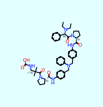 CCN(CC)[C@@H](C(=O)N1CCC[C@H]1C(=O)Nc1ccc(CN(Cc2ccc(NC(=O)[C@@H]3CCCN3C(=O)C(C)(C)[C@H](C)NC(=O)O)cc2)c2ccccc2)cc1)c1ccccc1